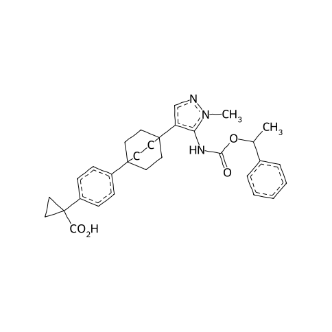 CC(OC(=O)Nc1c(C23CCC(c4ccc(C5(C(=O)O)CC5)cc4)(CC2)CC3)cnn1C)c1ccccc1